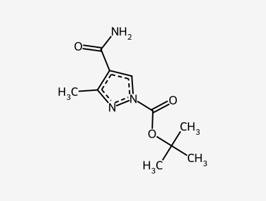 Cc1nn(C(=O)OC(C)(C)C)cc1C(N)=O